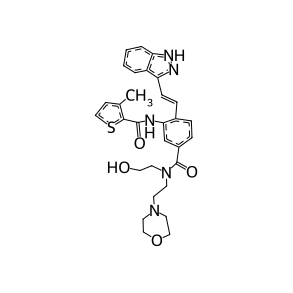 Cc1ccsc1C(=O)Nc1cc(C(=O)N(CCO)CCN2CCOCC2)ccc1C=Cc1n[nH]c2ccccc12